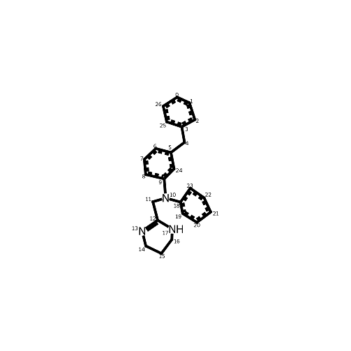 c1ccc(Cc2cccc(N(CC3=NCCCN3)c3ccccc3)c2)cc1